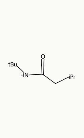 CC(C)CC(=O)NC(C)(C)C